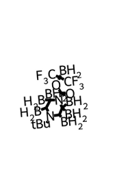 BC1N(C(C)(C)C)C(B)C(B)(B)N(C(=O)OC(B)(C(F)(F)F)C(F)(F)F)C1(B)B